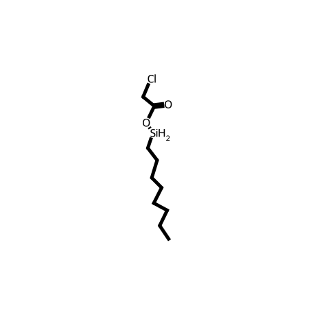 CCCCCCCC[SiH2]OC(=O)CCl